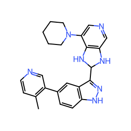 Cc1ccncc1-c1ccc2[nH]nc(C3Nc4cncc(N5CCCCC5)c4N3)c2c1